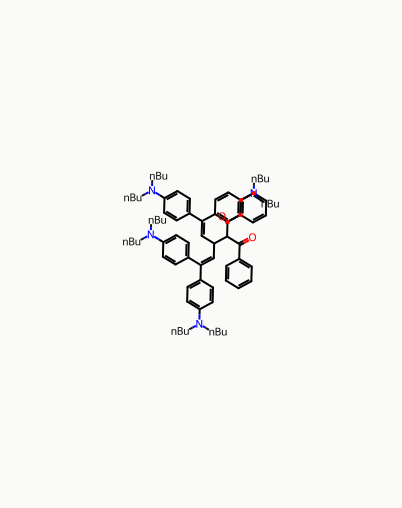 CCCCN(CCCC)c1ccc(C(=CC(C=C(c2ccc(N(CCCC)CCCC)cc2)c2ccc(N(CCCC)CCCC)cc2)C(C(=O)c2ccccc2)C(=O)c2ccccc2)c2ccc(N(CCCC)CCCC)cc2)cc1